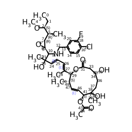 CC[C@H](OC)[C@@H](C)[C@H]1O[C@@H]1C(NCc1ccc(Cl)c(F)c1)C(C)(O)/C=C/C=C(\C)[C@H]1OC(=O)C[C@H](O)CC[C@@](C)(O)[C@@H](OC(C)=O)/C=C/[C@@H]1C